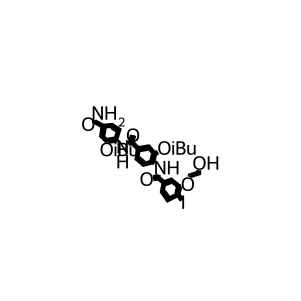 CC(C)COc1cc(C(N)=O)ccc1NC(=O)c1ccc(NC(=O)c2ccc(I)c(OCCO)c2)c(OCC(C)C)c1